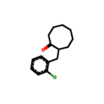 O=C1CCCCCCC1Cc1ccccc1Cl